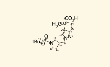 Cc1c(C(=O)O)ccc2nn(CC3CCN(C(=O)OC(C)(C)C)C3)cc12